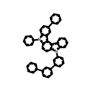 c1ccc(-c2cccc(-c3cccc(-n4c5ccccc5c5c6c7cc(-c8ccccc8)ccc7n(-c7ccccc7)c6ccc54)c3)c2)cc1